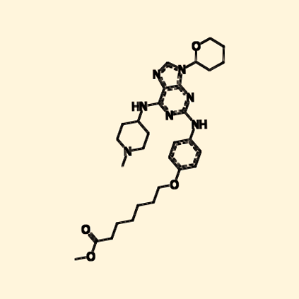 COC(=O)CCCCCCOc1ccc(Nc2nc(NC3CCN(C)CC3)c3ncn(C4CCCCO4)c3n2)cc1